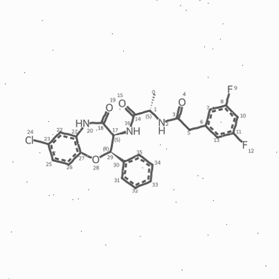 C[C@H](NC(=O)Cc1cc(F)cc(F)c1)C(=O)N[C@@H]1C(=O)Nc2cc(Cl)ccc2O[C@@H]1c1ccccc1